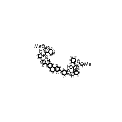 COC(=O)NC(C(=O)N1[C@@H]2CC[C@@H](C2)[C@H]1c1nc2ccc(-c3ccc4c(c3)CCc3cc(-c5cnc([C@@H]6CCCN6C(=O)[C@@H](NC(=O)OC)C6CCOCC6)[nH]5)ccc3-4)cc2[nH]1)c1ccccc1